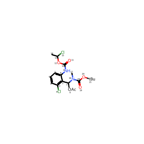 CC(=O)OC(c1c(Cl)cccc1NC(=O)OC(C)Cl)N(C)C(=O)OC(C)(C)C